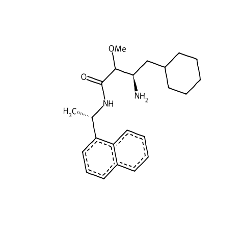 COC(C(=O)N[C@@H](C)c1cccc2ccccc12)[C@H](N)CC1CCCCC1